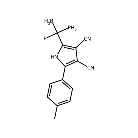 BC(F)(P)c1[nH]c(-c2ccc(C)cc2)c(C#N)c1C#N